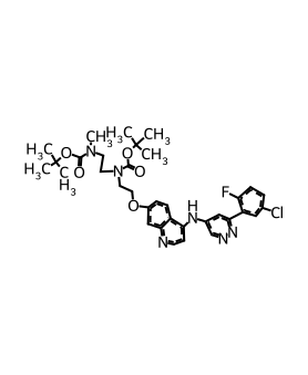 CN(CCN(CCOc1ccc2c(Nc3cnnc(-c4cc(Cl)ccc4F)c3)ccnc2c1)C(=O)OC(C)(C)C)C(=O)OC(C)(C)C